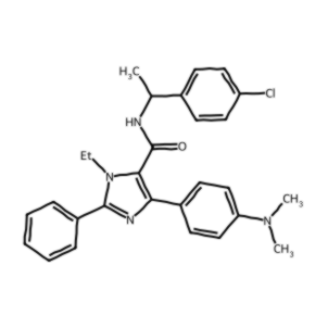 CCn1c(-c2ccccc2)nc(-c2ccc(N(C)C)cc2)c1C(=O)NC(C)c1ccc(Cl)cc1